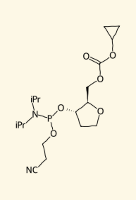 CC(C)N(C(C)C)P(OCCC#N)O[C@H]1CCO[C@@H]1COC(=O)OC1CC1